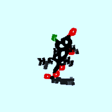 CCCCCC(=O)OCC(=O)[C@H]1C(C)C[C@H]2C3=C(C(=O)C[C@@]21C)[C@@]1(C)C=CC(=O)C=C1C(F)C3